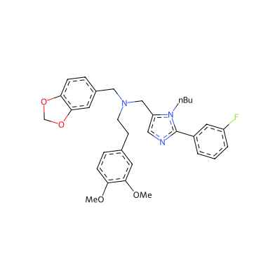 CCCCn1c(CN(CCc2ccc(OC)c(OC)c2)Cc2ccc3c(c2)OCO3)cnc1-c1cccc(F)c1